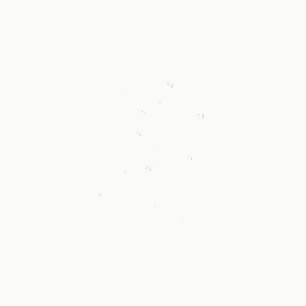 Nc1c(N)c(N(CCO)CCO)[n+]([O-])[n+]([O-])c1N